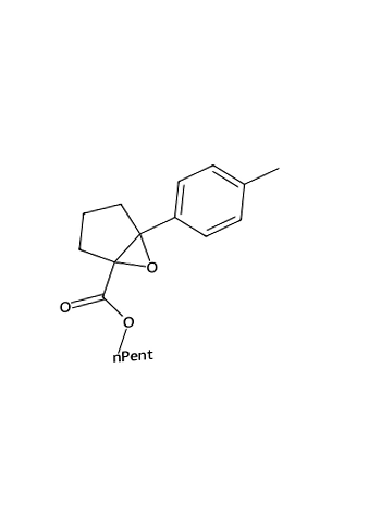 CCCCCOC(=O)C12CCCC1(c1ccc(C)cc1)O2